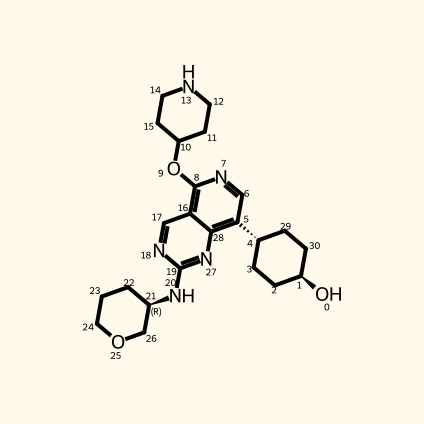 O[C@H]1CC[C@H](c2cnc(OC3CCNCC3)c3cnc(N[C@@H]4CCCOC4)nc32)CC1